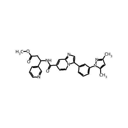 COC(=O)CC(NC(=O)c1ccn2c(-c3cccc(-n4nc(C)cc4C)c3)cnc2c1)c1cccnc1